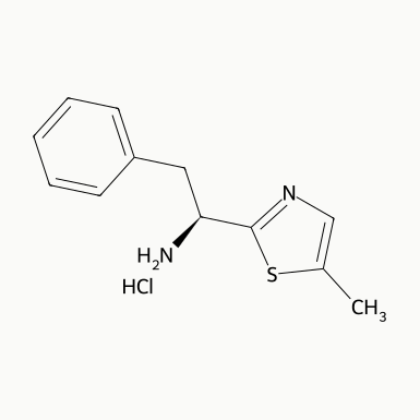 Cc1cnc([C@@H](N)Cc2ccccc2)s1.Cl